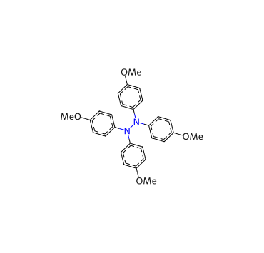 COc1ccc(N(c2ccc(OC)cc2)N(c2ccc(OC)cc2)c2ccc(OC)cc2)cc1